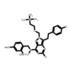 COc1ccc(CN(C)c2nc(Cl)nc3c(CCc4ccc(Cl)cc4)n(COCC[Si](C)(C)C)nc23)c(OC)c1